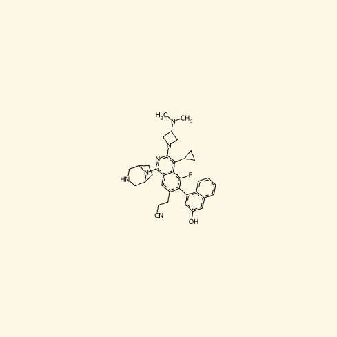 CN(C)C1CN(c2nc(N3C4CCC3CNC4)c3cc(CCC#N)c(-c4cc(O)cc5ccccc45)c(F)c3c2C2CC2)C1